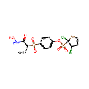 CCCCCCC(C(=O)NO)S(=O)(=O)c1ccc(OS(=O)(=O)C2(Cl)SC=CC2Br)cc1